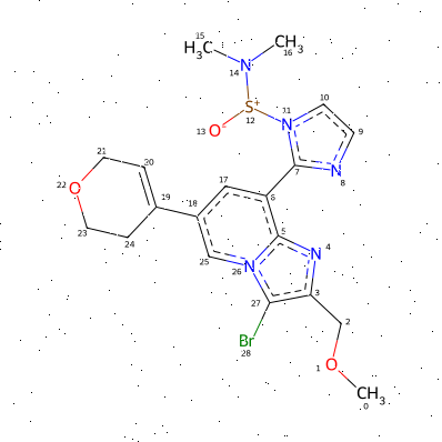 COCc1nc2c(-c3nccn3[S+]([O-])N(C)C)cc(C3=CCOCC3)cn2c1Br